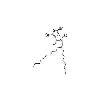 CCCCCCCCCCC(CCCCCCCC)CN1C(=O)c2c(Br)sc(Br)c2C1=O